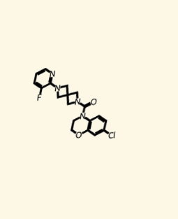 O=C(N1CC2(C1)CN(c1ncccc1F)C2)N1CCOc2cc(Cl)ccc21